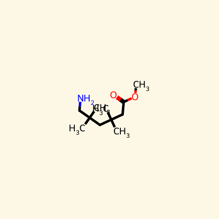 COC(=O)CC(C)(C)CC(C)(C)CN